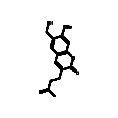 C=C(C)CCc1cc2cc(CO)c(OC)cc2oc1=O